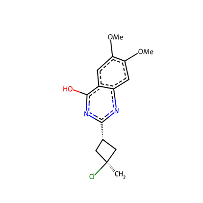 COc1cc2nc([C@H]3C[C@](C)(Cl)C3)nc(O)c2cc1OC